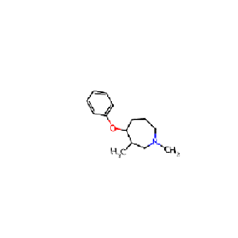 CC1CN(C)CCCC1Oc1ccccc1